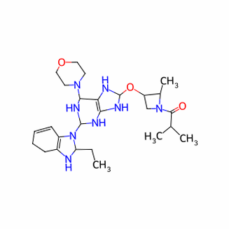 CCC1NC2=C(C=CCC2)N1C1NC2=C(NC(OC3CN(C(=O)C(C)C)C3C)N2)C(N2CCOCC2)N1